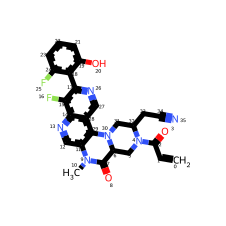 C=CC(=O)N1CC2C(=O)N(C)c3cnc4c(F)c(-c5c(O)cccc5F)ncc4c3N2CC1CC#N